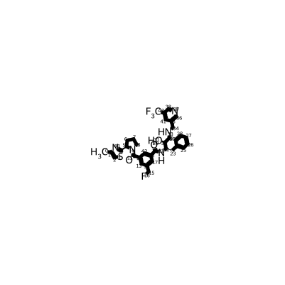 Cc1csc([C@H]2CCCN2C(=O)c2cc(CF)cc(C(=O)N[C@@H](Cc3ccccc3)[C@@H](O)CNCc3cncc(C(F)(F)F)c3)c2)n1